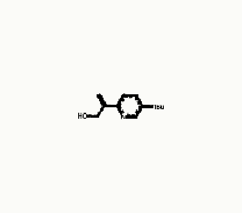 C=C(CO)c1ccc(C(C)(C)C)cn1